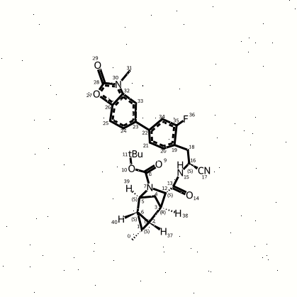 C[C@H]1[C@H]2[C@H]3C[C@@H]([C@@H]12)N(C(=O)OC(C)(C)C)[C@@H]3C(=O)N[C@H](C#N)Cc1ccc(-c2ccc3oc(=O)n(C)c3c2)cc1F